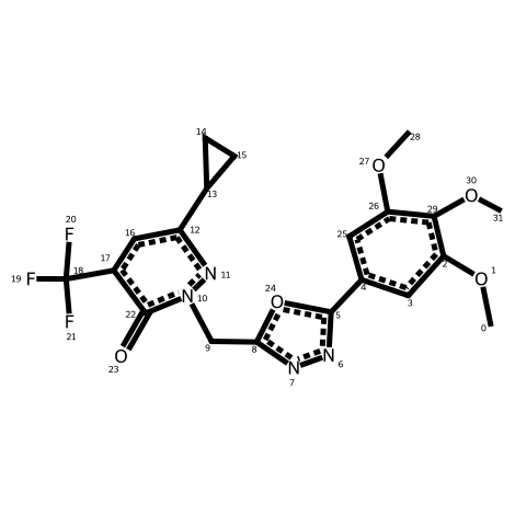 COc1cc(-c2nnc(Cn3nc(C4CC4)cc(C(F)(F)F)c3=O)o2)cc(OC)c1OC